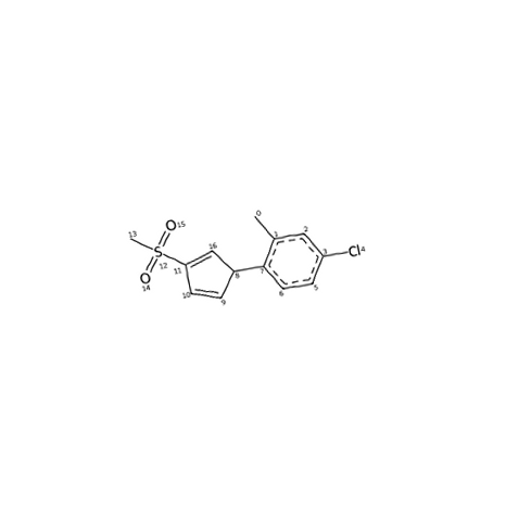 Cc1cc(Cl)ccc1C1C=CC(S(C)(=O)=O)=C1